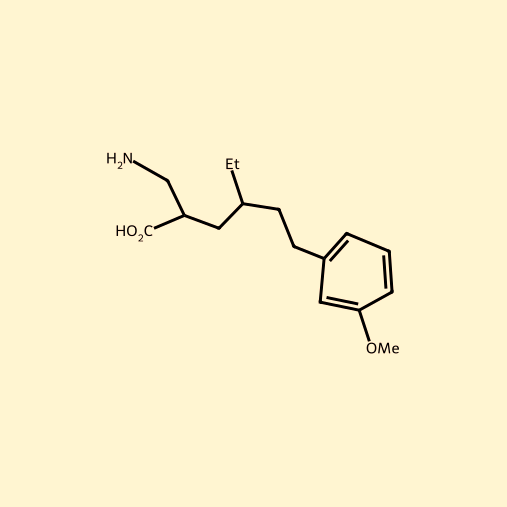 CCC(CCc1cccc(OC)c1)CC(CN)C(=O)O